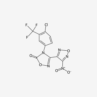 O=c1onc(-c2nonc2[N+](=O)[O-])n1-c1ccc(Cl)c(C(F)(F)F)c1